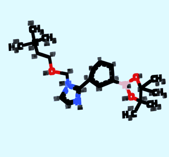 CC1(C)OB(c2cccc(-c3nccn3COCC[Si](C)(C)C)c2)OC1(C)C